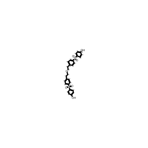 O=S(=O)(c1ccc(O)cc1)c1ccc(CCOCCc2ccc(S(=O)(=O)c3ccc(O)cc3)cc2)cc1